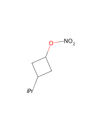 CC(C)C1CC(O[N+](=O)[O-])C1